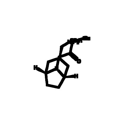 CC(C)(C)NC(=O)CN1[C@@H]2CC[C@H]1C[C@H](CC(=O)O)C2